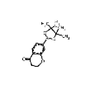 CC1(C)OB(c2ccc3c(c2)OCCC3=O)OC1(C)C